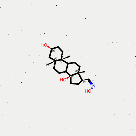 C[C@]12CC[C@H](O)C[C@H]1CCC1C2CC[C@]2(C)[C@@H](/C=N\O)CC[C@]12O